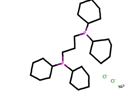 C1CCC(P(CCCP(C2CCCCC2)C2CCCCC2)C2CCCCC2)CC1.[Cl-].[Cl-].[Ni+2]